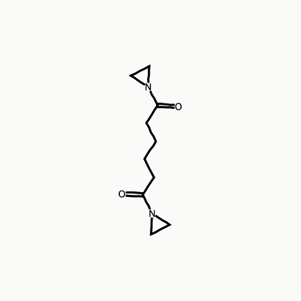 O=C(CCCCC(=O)N1CC1)N1CC1